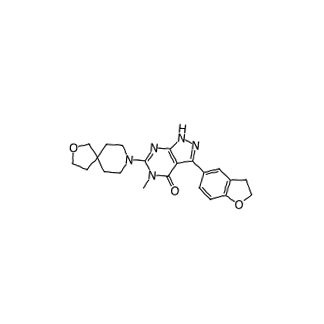 Cn1c(N2CCC3(CCOC3)CC2)nc2[nH]nc(-c3ccc4c(c3)CCO4)c2c1=O